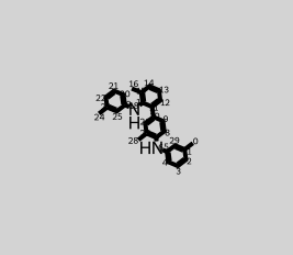 Cc1cccc(Nc2ccc(-c3cccc(C)c3Nc3cccc(C)c3)cc2C)c1